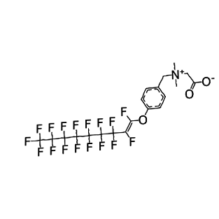 C[N+](C)(CC(=O)[O-])Cc1ccc(OC(F)=C(F)C(F)(F)C(F)(F)C(F)(F)C(F)(F)C(F)(F)C(F)(F)C(F)(F)F)cc1